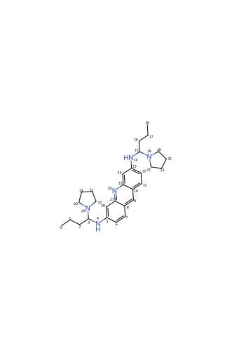 CCCC(Nc1ccc2cc3ccc(NC(CCC)N4CCCC4)cc3nc2c1)N1CCCC1